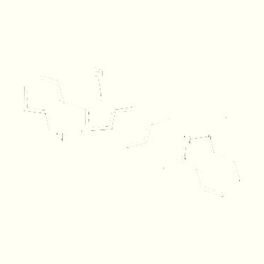 N#Cc1ccccc1-c1oc2ccc(CN3C(=O)c4ccccc4C3=O)cc2c1Br